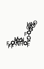 Cc1nnc(N[C@H](C)c2cccc(C(F)F)c2F)c2cc(-c3ccc(F)c(CN4CCC(c5cc6c(cc5F)C(=O)N(C5CCC(=O)NC5=O)C6)CC4)c3)ncc12